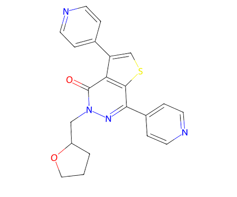 O=c1c2c(-c3ccncc3)csc2c(-c2ccncc2)nn1CC1CCCO1